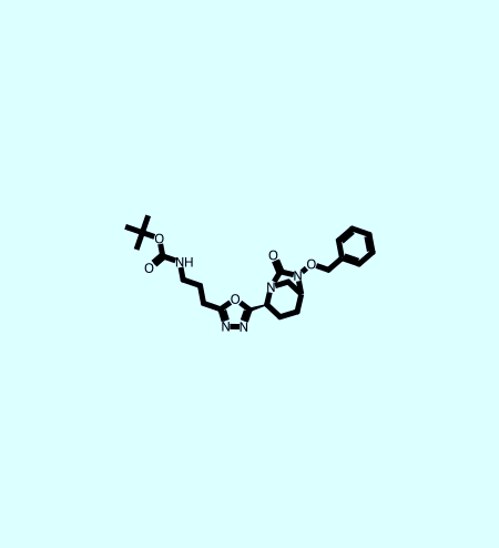 CC(C)(C)OC(=O)NCCCc1nnc([C@@H]2CCC3CN2C(=O)N3OCc2ccccc2)o1